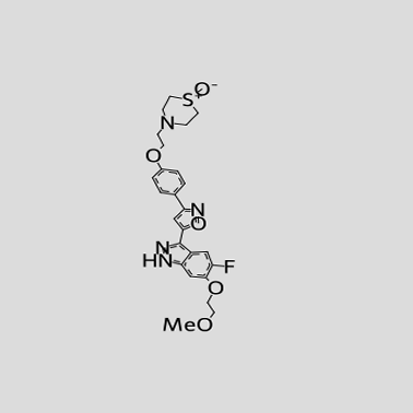 COCCOc1cc2[nH]nc(-c3cc(-c4ccc(OCCN5CC[S+]([O-])CC5)cc4)no3)c2cc1F